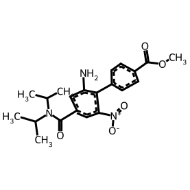 COC(=O)c1ccc(-c2c(N)cc(C(=O)N(C(C)C)C(C)C)cc2[N+](=O)[O-])cc1